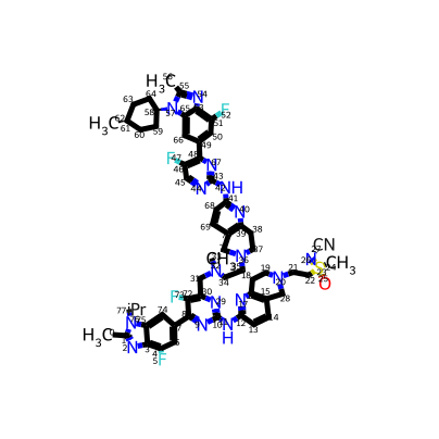 Cc1nc2c(F)cc(-c3nc(Nc4ccc5c(n4)CCN(CCS(C)(=O)=NC#N)C5)nc(CN(C)CCN4CCc5nc(Nc6ncc(F)c(-c7cc(F)c8nc(C)n([C@H]9CC[C@H](C)CC9)c8c7)n6)ccc5C4)c3F)cc2n1C(C)C